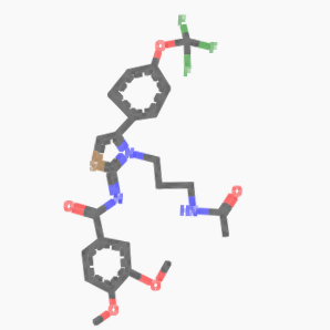 COc1ccc(C(=O)/N=c2\scc(-c3ccc(OC(F)(F)F)cc3)n2CCCNC(C)=O)cc1OC